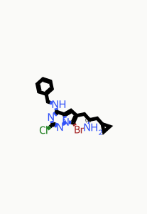 N[C@H](Cc1cc2c(NCc3ccccc3)nc(Cl)nn2c1Br)CC1CC1